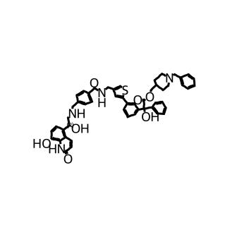 O=C(NCc1csc(-c2cccc(C(O)(C(=O)OCC3CCN(Cc4ccccc4)CC3)c3ccccc3)c2)c1)c1ccc(CNC[C@H](O)c2ccc(O)c3[nH]c(=O)ccc23)cc1